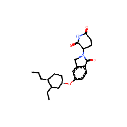 CCC[C@H]1CC[C@@H](Oc2ccc3c(c2)CN(C2CCC(=O)NC2=O)C3=O)CC1CC